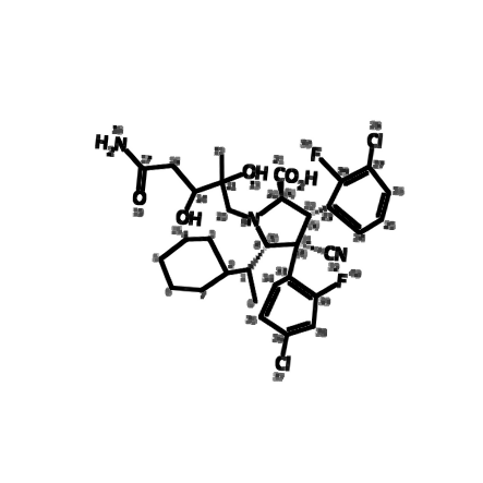 CC(C1CCCCC1)[C@@H]1N(CC(C)(O)C(O)CC(N)=O)[C@@H](C(=O)O)[C@H](c2cccc(Cl)c2F)[C@@]1(C#N)c1ccc(Cl)cc1F